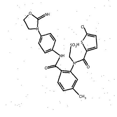 Cc1ccc(C(=O)Nc2ccc(N3CCOC3=N)cc2)c(N(CS(=O)(=O)O)C(=O)c2ccc(Cl)s2)c1